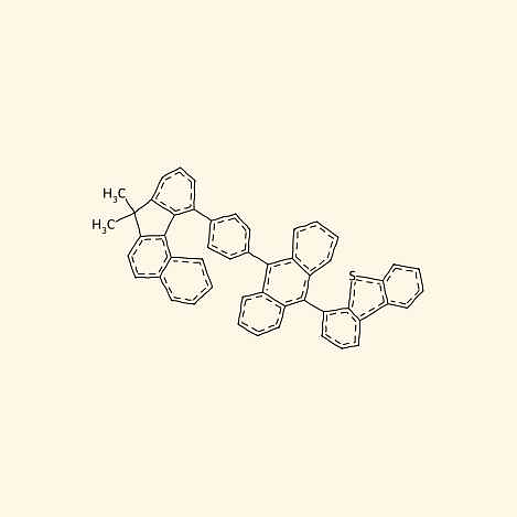 CC1(C)c2cccc(-c3ccc(-c4c5ccccc5c(-c5cccc6c5sc5ccccc56)c5ccccc45)cc3)c2-c2c1ccc1ccccc21